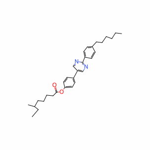 CCCCCCc1ccc(-c2ncc(-c3ccc(OC(=O)CCCCC(C)CC)cc3)cn2)cc1